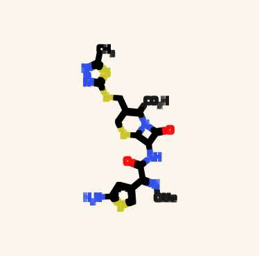 CON=C(C(=O)NC1C(=O)N2C(C(=O)O)=C(CSc3nnc(C)s3)CSC12)c1csc(N)c1